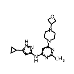 Cc1nc(Nc2cc(C3CC3)[nH]n2)cc(N2CCN(C3COC3)CC2)n1